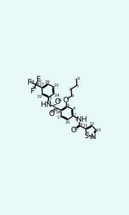 CCCCOc1cc(NC(=O)c2ccns2)ccc1S(=O)(=O)Nc1cccc(C(F)(F)F)c1